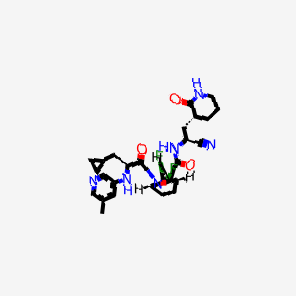 Cc1cncc(N[C@@H](CC2CC2)C(=O)N2[C@H]3CC[C@@H]([C@H]2C(=O)N[C@H](C#N)C[C@H]2CCCNC2=O)C(F)(F)C3)c1